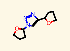 c1c(C2CCCO2)nnn1C1CCCO1